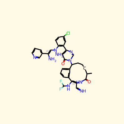 CC1CCCC(n2cnc(-c3cc(Cl)ccc3N(N)/C=C(\N)c3cccnc3)cc2=O)c2cccc(c2)/C(NC(F)F)=C(/C=N)NC1=O